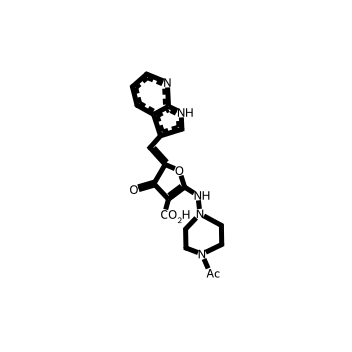 CC(=O)N1CCN(NC2=C(C(=O)O)C(=O)C(=Cc3c[nH]c4ncccc34)O2)CC1